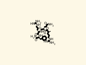 C[C@@H](CCCNC(=N)N)C(=O)N[C@@H](CCC(N)=O)C(=O)N[C@@H](CCCNC(=N)N)C(=O)N[C@@H](CC1CCCCC1)C(N)=O